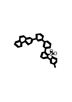 Cc1ccc2c(c1)-c1cccc(-c3cccc(-c4cccc(-c5ccc6c(ccc7ccccc76)c5)c4)c3)c1S2(=O)=O